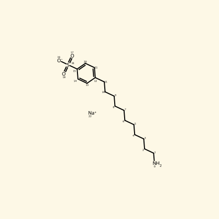 NCCCCCCCCCCCc1ccc(S(=O)(=O)[O-])cc1.[Na+]